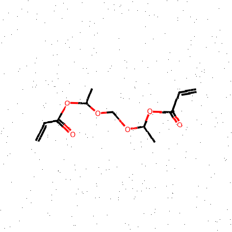 C=CC(=O)OC(C)OCOC(C)OC(=O)C=C